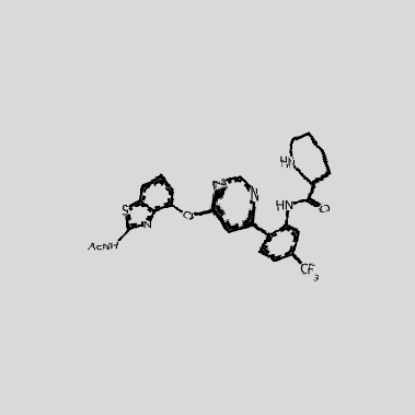 CC(=O)Nc1nc2c(Oc3cc(-c4ccc(C(F)(F)F)cc4NC(=O)C4CCCCN4)ncn3)cccc2s1